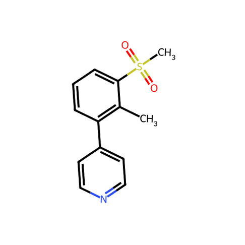 Cc1c(-c2ccncc2)cccc1S(C)(=O)=O